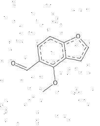 COc1c(C=O)ccc2occc12